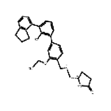 N#CCOc1cc(-c2cccc(-c3cccc4c3CCC4)c2Cl)ccc1CNC[C@@H]1CCC(=O)N1